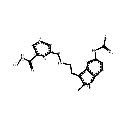 CCC(=O)Nc1ccc2[nH]c(C)c(CCNCc3cncc(C(=O)NO)n3)c2c1